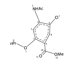 CCCOc1cc(NC(C)=O)c(Cl)cc1C(=O)OC